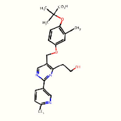 Cc1cc(OCc2cnc(-c3ccc(C(F)(F)F)nc3)nc2CCO)ccc1OC(C)(C)C(=O)O